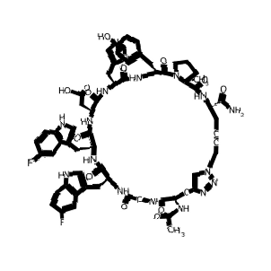 CC(=O)N[C@@H]1Cc2cn(nn2)CCCC[C@@H](C(N)=O)NC(=O)[C@]2(C)CCCN2C(=O)[C@H](Cc2ccc(O)cc2)NC(=O)[C@H](Cc2cnc[nH]2)NC(=O)[C@H](CC(=O)O)NC(=O)[C@H](Cc2c[nH]c3ccc(F)cc23)NC(=O)[C@H](Cc2c[nH]c3ccc(F)cc23)NC(=O)CNC1=O